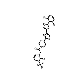 O=c1c(C(F)(F)F)cccn1CC(=S)N1CCC(c2nc(C3=NOC(c4c(F)cccc4F)C3)cs2)CC1